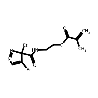 C=C(C)C(=O)OCCNC(=O)C1(CC)N=NC=C1CC